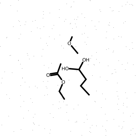 CCCC(O)O.CCOC(C)=O.COC